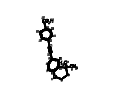 CC1(C)CCOc2ccc(C#Cc3ccc(C(=O)O)cc3)cc21